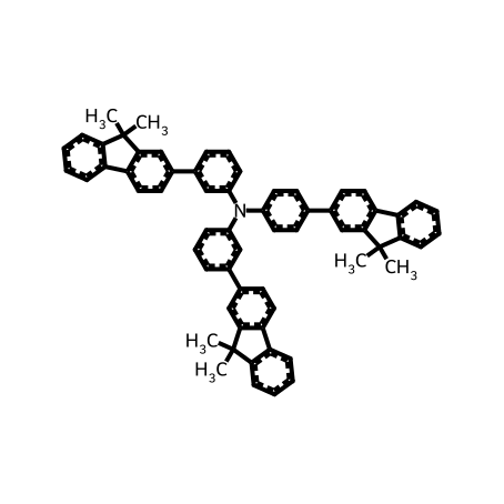 CC1(C)c2ccccc2-c2ccc(-c3ccc(N(c4cccc(-c5ccc6c(c5)C(C)(C)c5ccccc5-6)c4)c4cccc(-c5ccc6c(c5)C(C)(C)c5ccccc5-6)c4)cc3)cc21